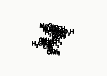 COC1CCC(OC2CC(C3OC(O)(CO)C(C)CC3C)OC2C2(C)CCC(C3(C)CCC4(CC(O)C(C)C(C(C)C5OC(O)(CC(=O)O)C(C)C(OC6CCC(OC)C(C)O6)C5OC)O4)O3)O2)OC1C